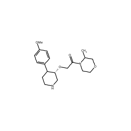 COc1ccc(C2CCNC[C@H]2OCC(=O)N2CCOCC2C)cc1